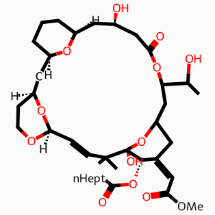 CCCCCCCC(=O)O[C@H]1/C(=C\C(=O)OC)CC2CC(C(C)O)OC(=O)C[C@H](O)C[C@@H]3CCC[C@H](C[C@@H]4CCO[C@H](/C=C/C(C)(C)[C@]1(O)O2)O4)O3